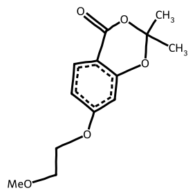 COCCOc1ccc2c(c1)OC(C)(C)OC2=O